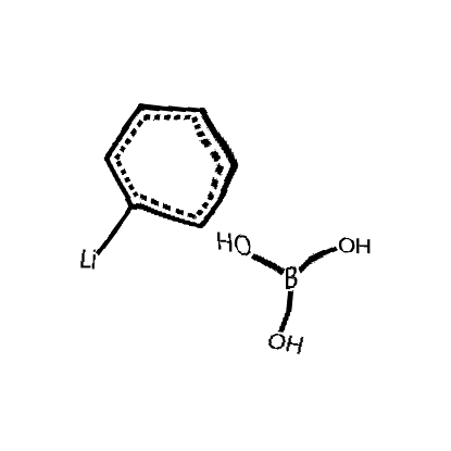 OB(O)O.[Li][c]1ccccc1